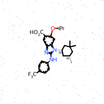 CC(C)Oc1cc2c(cc1C(=O)O)nc(Nc1ccc(C(F)(F)F)cc1)n2[C@H]1C[C@@H](C)CC(C)(C)C1